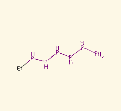 CCPPPPPP